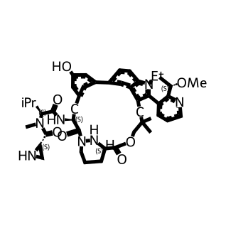 CCn1c(-c2cccnc2[C@H](C)OC)c2c3cc(ccc31)-c1cc(O)cc(c1)C[C@H](NC(=O)[C@H](C(C)C)N(C)C(=O)[C@@H]1CN1)C(=O)N1CCC[C@H](N1)C(=O)OCC(C)(C)C2